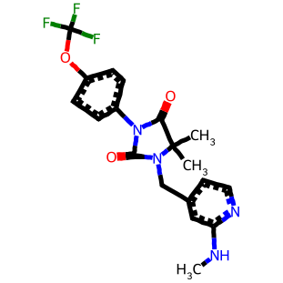 CNc1cc(CN2C(=O)N(c3ccc(OC(F)(F)F)cc3)C(=O)C2(C)C)ccn1